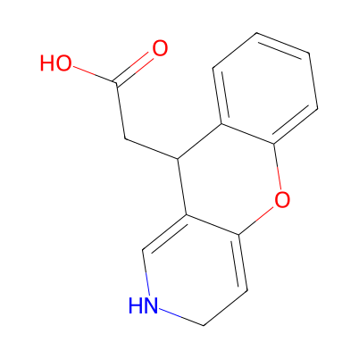 O=C(O)CC1C2=CNCC=C2Oc2ccccc21